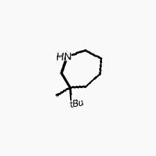 CC(C)(C)C1(C)CCCCNC1